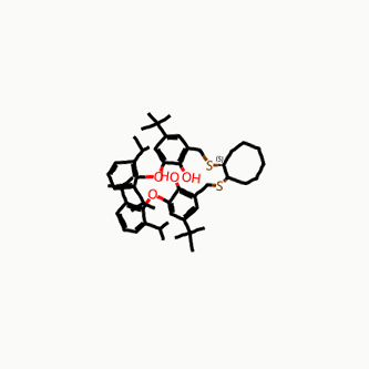 CC(C)c1cccc(C(C)C)c1Oc1cc(C(C)(C)C)cc(CSC2CCCCCC[C@@H]2SCc2cc(C(C)(C)C)cc(Oc3c(C(C)C)cccc3C(C)C)c2O)c1O